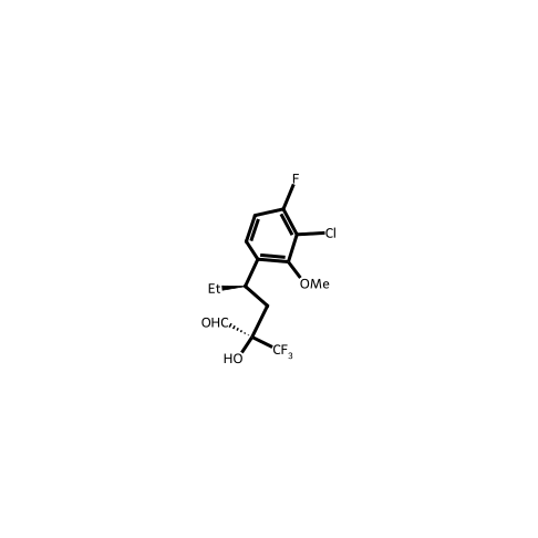 CC[C@H](C[C@@](O)(C=O)C(F)(F)F)c1ccc(F)c(Cl)c1OC